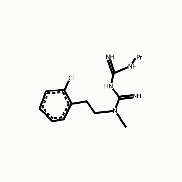 CC(C)NC(=N)NC(=N)N(C)CCc1ccccc1Cl